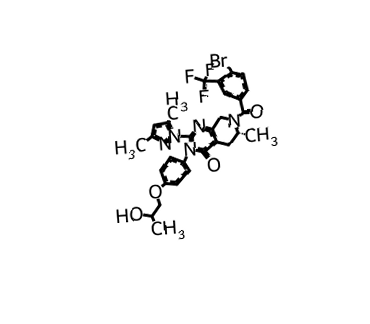 Cc1cc(C)n(-c2nc3c(c(=O)n2-c2ccc(OCC(C)O)cc2)C[C@@H](C)N(C(=O)c2ccc(Br)c(C(F)(F)F)c2)C3)n1